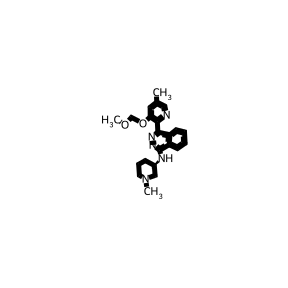 COCOc1cc(C)cnc1-c1nnc(N[C@@H]2CCCN(C)C2)c2ccccc12